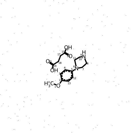 COc1ccc(N2CCNCC2)cc1.O=C(O)CCC(=O)O